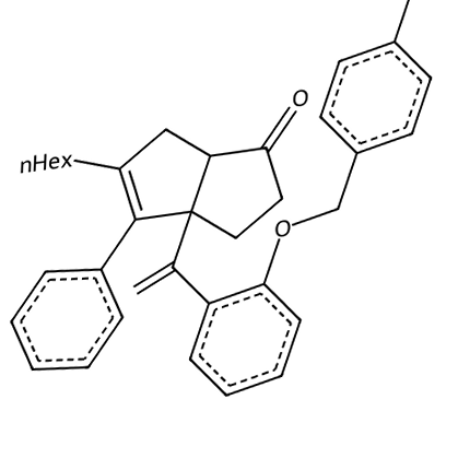 C=C(c1ccccc1OCc1ccc(C#N)cc1)C12CCC(=O)C1CC(CCCCCC)=C2c1ccccc1